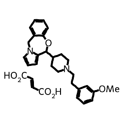 COc1cccc(CCN2CCC(C3Oc4ccccc4Cn4cccc43)CC2)c1.O=C(O)C=CC(=O)O